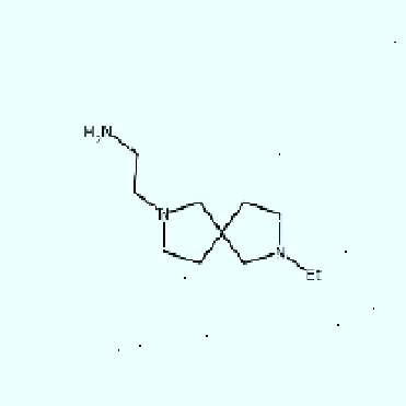 CCN1CCC2(CCN(CCN)C2)C1